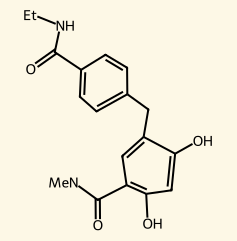 CCNC(=O)c1ccc(Cc2cc(C(=O)NC)c(O)cc2O)cc1